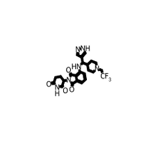 O=C1CCC(N2C(=O)c3cccc(NC(c4cn[nH]c4)C4CCN(CC(F)(F)F)CC4)c3C2=O)C(=O)N1